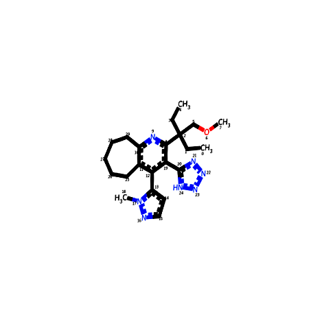 CCC(CC)(COC)c1nc2c(c(-c3ccnn3C)c1-c1nnn[nH]1)CCCCC2